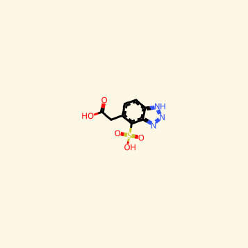 O=C(O)Cc1ccc2[nH]nnc2c1S(=O)(=O)O